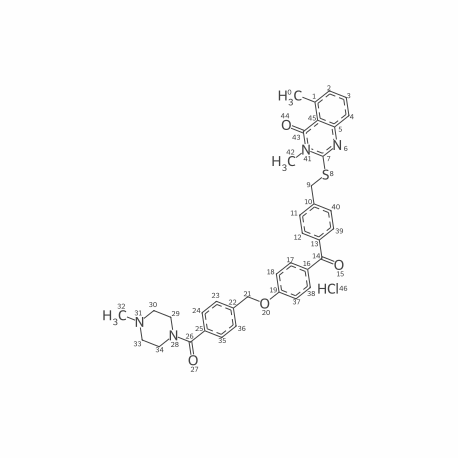 Cc1cccc2nc(SCc3ccc(C(=O)c4ccc(OCc5ccc(C(=O)N6CCN(C)CC6)cc5)cc4)cc3)n(C)c(=O)c12.Cl